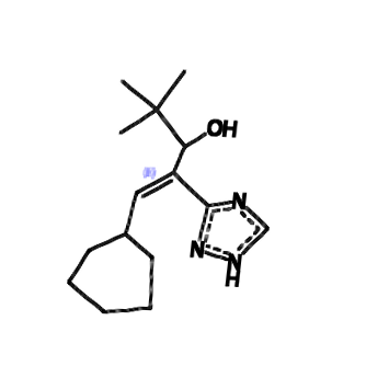 CC(C)(C)C(O)/C(=C/C1CCCCC1)c1nc[nH]n1